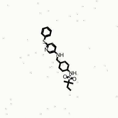 CCC(C)(C)S(=O)(=O)NC1CCC(CNc2ccc(Sc3ccccc3)nc2)CC1